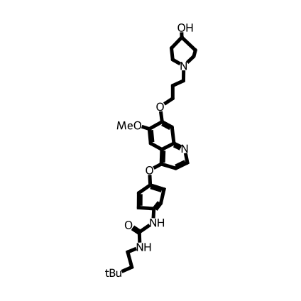 COc1cc2c(Oc3ccc(NC(=O)NCCC(C)(C)C)cc3)ccnc2cc1OCCCN1CCC(O)CC1